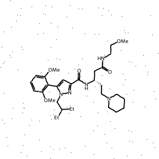 CCC(CC)Cn1nc(C(=O)N[C@@H](CCN2CCCCC2)CC(=O)NCCOC)cc1-c1c(OC)cccc1OC